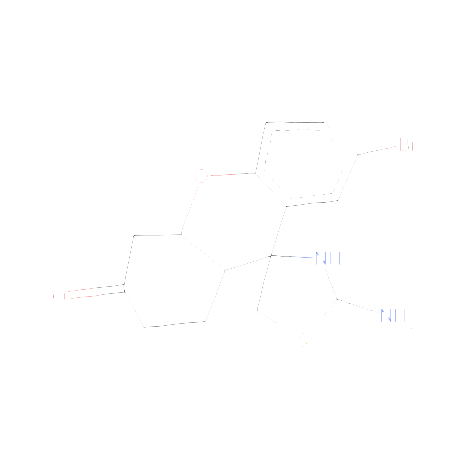 NC1NC2(CS1)c1cc(Br)ccc1OC1CC(=O)CCC12